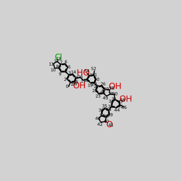 Cc1cc(-c2ccc3c(c2)CCC3Cl)cc(CCc2cc(-c3ccc4c(c3)C(O)C(Cc3cc(-c5ccc6c(c5)C(=O)CC6)cc(C)c3O)C4)cc(C)c2O)c1O